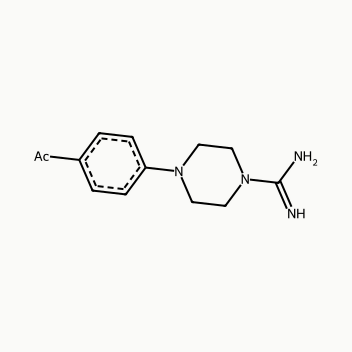 CC(=O)c1ccc(N2CCN(C(=N)N)CC2)cc1